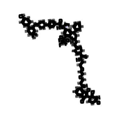 C/C=S(/NC(=O)c1ccc(N2CCN(CC3=C(c4ccc(Cl)cc4)CCC(C)(C)C3)CC2)cc1)c1ccc(N[C@H](CCN2CCN(C(=S)NCCOCCOCCNc3cccc4c3C(=O)N(C3CCC(=O)NC3=O)C4=O)CC2)CSc2ccccc2)c(S(=O)(=O)C(F)(F)F)c1